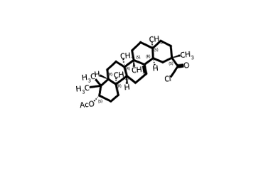 CC(=O)O[C@H]1CC[C@]2(C)[C@H]3CC=C4[C@@H]5C[C@@](C)(C(=O)Cl)CC[C@]5(C)CC[C@@]4(C)[C@]3(C)CC[C@H]2C1(C)C